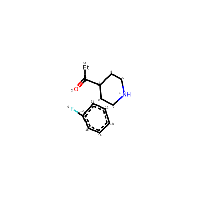 CCC(=O)C1CCNCC1.Fc1ccccc1